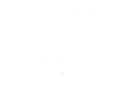 CC1(O)CN(CCOc2ccc3cc(O)c(N4CC(=O)NS4(=O)=O)c(F)c3c2)C1